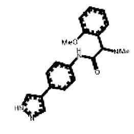 CNC(C(=O)Nc1ccc(-c2cn[nH]c2)cc1)c1ccccc1OC